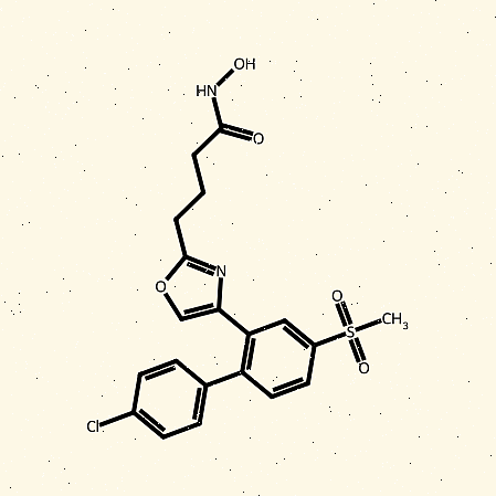 CS(=O)(=O)c1ccc(-c2ccc(Cl)cc2)c(-c2coc(CCCC(=O)NO)n2)c1